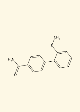 CSc1ccccc1-c1ccc(C(N)=O)cc1